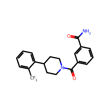 NC(=O)c1cccc(C(=O)N2CCC(c3ccccc3C(F)(F)F)CC2)c1